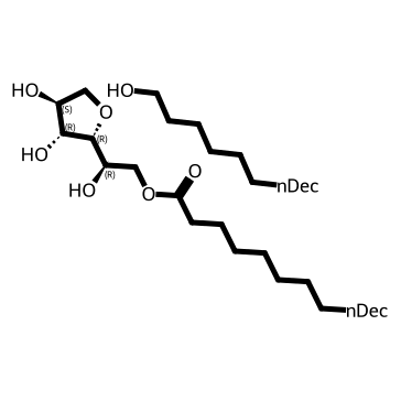 CCCCCCCCCCCCCCCCCC(=O)OC[C@@H](O)[C@H]1OC[C@H](O)[C@H]1O.CCCCCCCCCCCCCCCCO